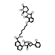 O=C1CCC(N2C(=O)c3cccc(OCCCCCCNC(=O)c4ccc5cncc(N6C(=O)NC7(CC(c8ccccc8Cl)C7)C6=O)c5c4)c3C2=O)C(=O)N1